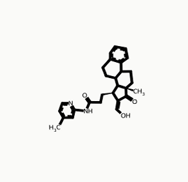 Cc1ccnc(NC(=O)CC[C@@H]2/C(=C/O)C(=O)[C@@]3(C)CCC4c5ccccc5CCC4C23)c1